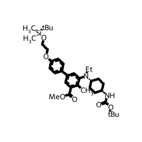 CCN(c1cc(-c2ccc(OCCO[Si](C)(C)C(C)(C)C)cc2)cc(C(=O)OC)c1C)[C@H]1CC[C@H](NC(=O)OC(C)(C)C)CC1